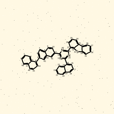 c1ccc2c(-c3ccc4ccc(-c5nc(-c6cccc7ccccc67)nc(-c6cccc7c6sc6ccccc67)n5)cc4c3)cccc2c1